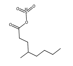 CCCCC(C)CCC(=O)O[SH](=O)=O